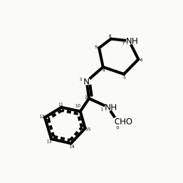 O=CN/C(=N\C1CCNCC1)c1ccccc1